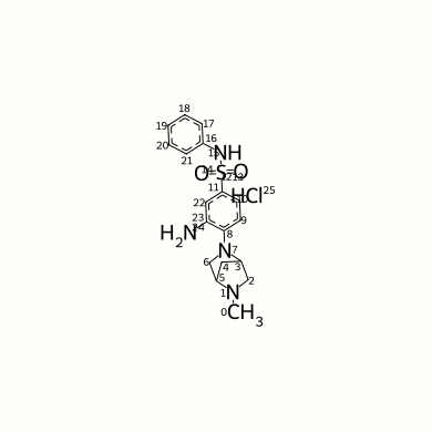 CN1CC2CC1CN2c1ccc(S(=O)(=O)Nc2ccccc2)cc1N.Cl